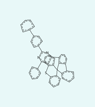 c1ccc(-c2ccc(-c3nc(-c4ccccc4)cc(-c4cccc5c4C4(c6ccccc6Sc6ccccc64)c4ccccc4-5)n3)cc2)cc1